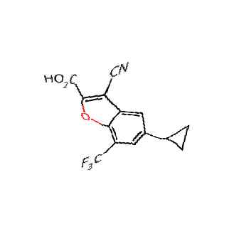 N#Cc1c(C(=O)O)oc2c(C(F)(F)F)cc(C3CC3)cc12